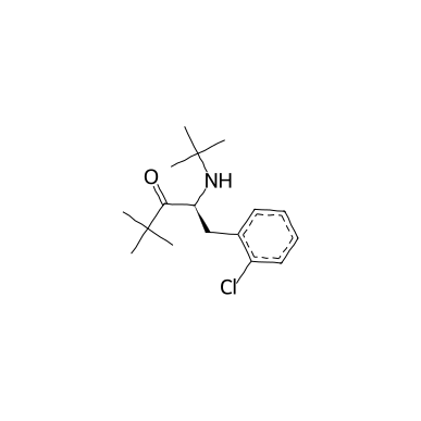 CC(C)(C)N[C@@H](Cc1ccccc1Cl)C(=O)C(C)(C)C